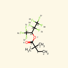 CCC(C)(C)C(=O)OC(C(F)(F)F)C(F)(F)C(F)(F)F